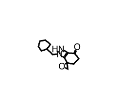 O=C1CCC2(CO2)c2c1[nH]n2CC1CCCCC1